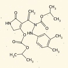 C=C(C1=C(OC(=O)OC(C)C)CNC1=O)N(Nc1ccc(C)c(C)c1)C(=O)OC(C)C